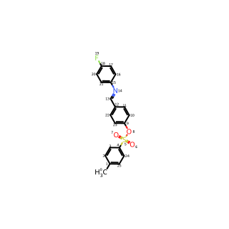 Cc1ccc(S(=O)(=O)Oc2ccc(C=Nc3ccc(F)cc3)cc2)cc1